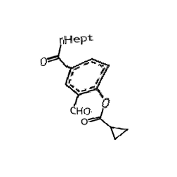 CCCCCCCC(=O)c1ccc(OC(=O)C2CC2)c([C]=O)c1